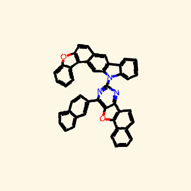 c1ccc2cc(-c3nc(-n4c5ccccc5c5cc6ccc7oc8ccccc8c7c6cc54)nc4c3oc3c5ccccc5ccc43)ccc2c1